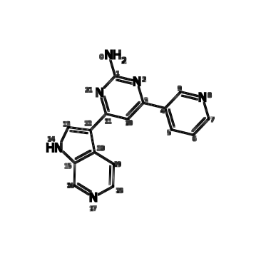 Nc1nc(-c2cccnc2)cc(-c2c[nH]c3cnccc23)n1